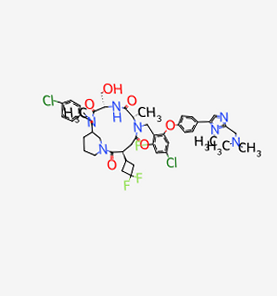 C[C@H]1C(=O)N[C@@H](CO)C(=O)N(C)[C@@]2(Cc3ccc(Cl)cc3)CCCN(C2)C(=O)[C@H](C2CC(F)(F)C2)CC(=O)N1Cc1c(F)cc(Cl)cc1Oc1ccc(-c2cnc(CN(C)C)n2C)cc1